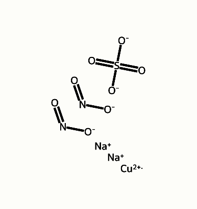 O=N[O-].O=N[O-].O=S(=O)([O-])[O-].[Cu+2].[Na+].[Na+]